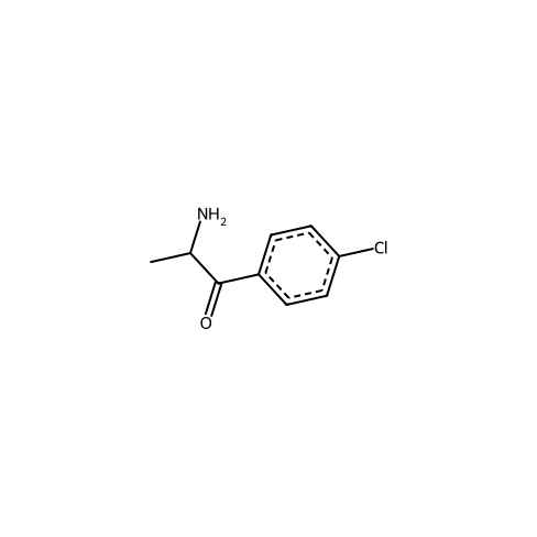 CC(N)C(=O)c1ccc(Cl)cc1